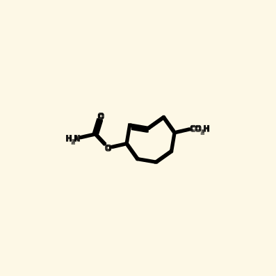 NC(=O)OC1/C=C/CC(C(=O)O)CCC1